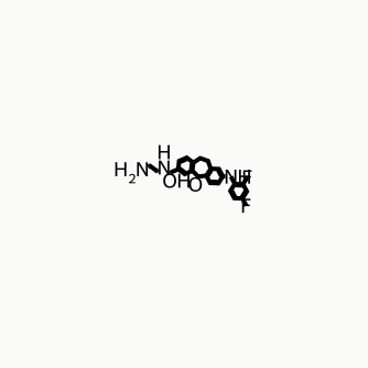 NCCNC(O)c1ccc2c(c1)C(=O)c1ccc(Nc3ccc(F)cc3F)cc1CC2